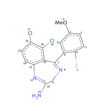 COc1ccc(F)c(C2=NCC(N)=Nc3ccc(Cl)c(Cl)c32)c1